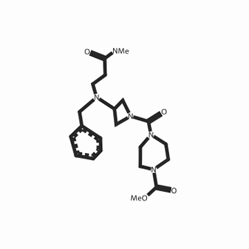 CNC(=O)CCN(Cc1ccccc1)C1CN(C(=O)N2CCN(C(=O)OC)CC2)C1